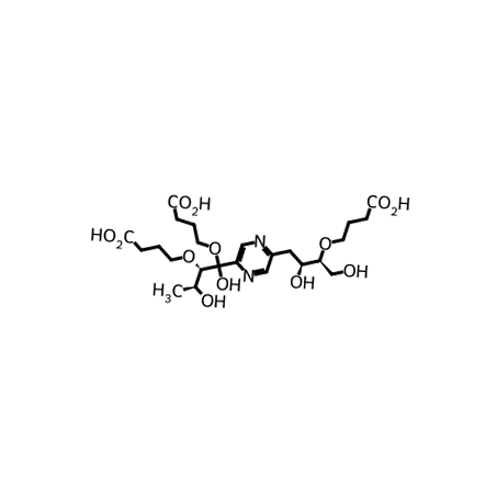 C[C@H](O)[C@H](OCCCC(=O)O)C(O)(OCCCC(=O)O)c1cnc(C[C@H](O)[C@H](CO)OCCCC(=O)O)cn1